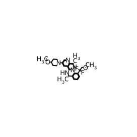 COCC(F)(F)c1cccc([C@@H](C)Nc2nnc(C)c3ncc(N4CCC(OC)CC4)cc23)c1